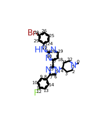 CN1CCC(n2cc(-c3ccc(F)cc3)nc2-c2ccnc(Nc3cccc(Br)c3)n2)CC1